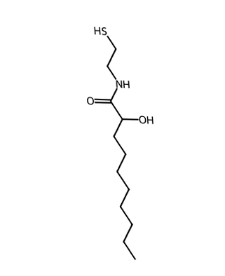 CCCCCCCCC(O)C(=O)NCCS